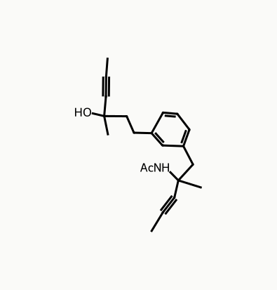 CC#CC(C)(O)CCc1cccc(CC(C)(C#CC)NC(C)=O)c1